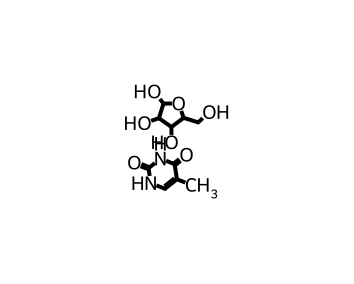 Cc1c[nH]c(=O)[nH]c1=O.OCC1OC(O)C(O)C1O